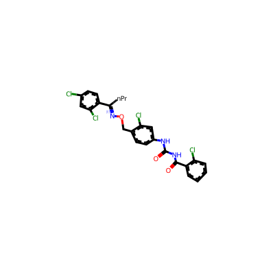 CCC/C(=N\OCc1ccc(NC(=O)NC(=O)c2ccccc2Cl)cc1Cl)c1ccc(Cl)cc1Cl